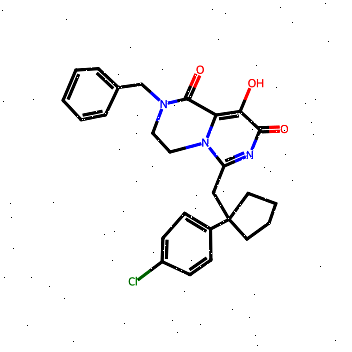 O=C1c2c(O)c(=O)nc(CC3(c4ccc(Cl)cc4)CCCC3)n2CCN1Cc1ccccc1